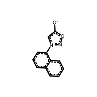 [O-]c1c[n+](-c2cccc3ccccc23)no1